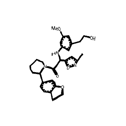 COc1cc(CCO)cc(NC(C(=O)N2CCCCC2c2ccc3c(c2)OCC3)c2cc(C)no2)c1